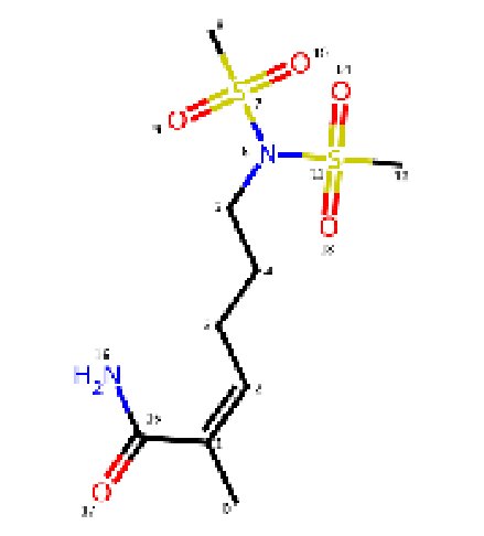 CC(=CCCCN(S(C)(=O)=O)S(C)(=O)=O)C(N)=O